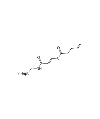 C=CCCC(=O)SC=CC(=O)NCCCCCCCC